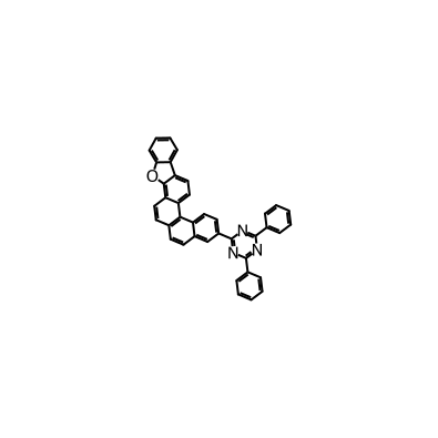 c1ccc(-c2nc(-c3ccccc3)nc(-c3ccc4c(ccc5ccc6c(ccc7c8ccccc8oc76)c54)c3)n2)cc1